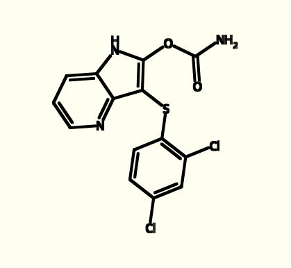 NC(=O)Oc1[nH]c2cccnc2c1Sc1ccc(Cl)cc1Cl